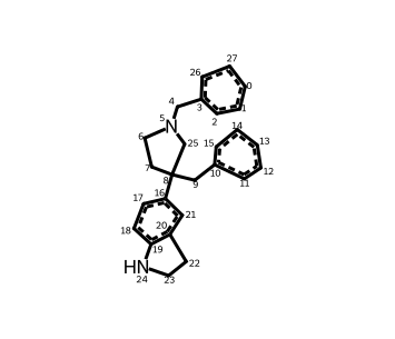 c1ccc(CN2CCC(Cc3ccccc3)(c3ccc4c(c3)CCN4)C2)cc1